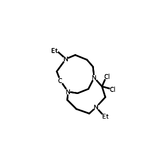 CCN1CCCN2CCN(CCCN(CC)CC2(Cl)Cl)CC1